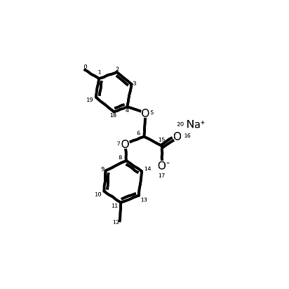 Cc1ccc(OC(Oc2ccc(C)cc2)C(=O)[O-])cc1.[Na+]